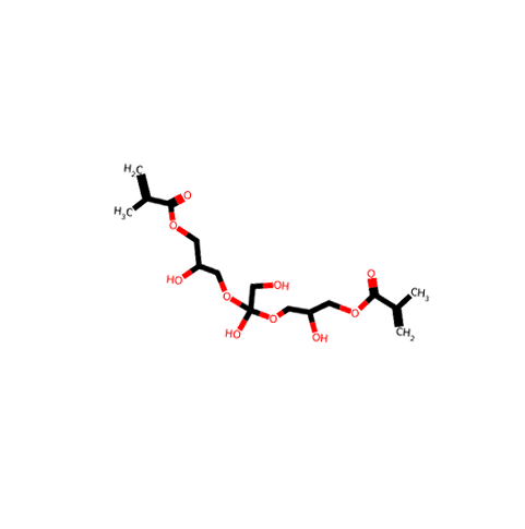 C=C(C)C(=O)OCC(O)COC(O)(CO)OCC(O)COC(=O)C(=C)C